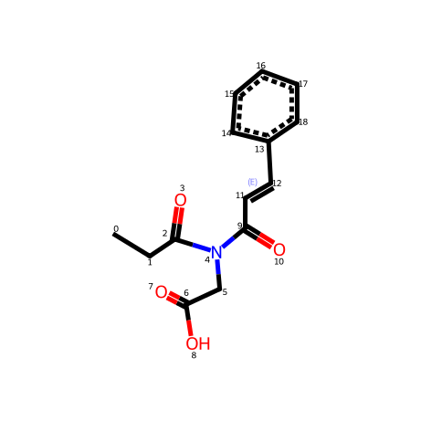 CCC(=O)N(CC(=O)O)C(=O)/C=C/c1ccccc1